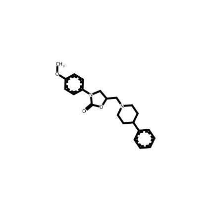 COc1ccc(N2CC(CN3CCC(c4ccccc4)CC3)OC2=O)cc1